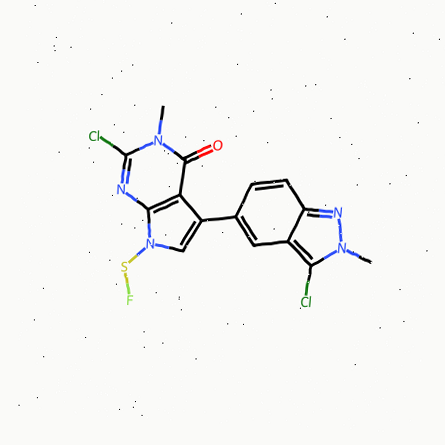 Cn1nc2ccc(-c3cn(SF)c4nc(Cl)n(C)c(=O)c34)cc2c1Cl